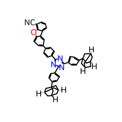 N#Cc1cccc2c1oc1ccc(-c3ccc(-c4nc(-c5ccc(C67C[C@H]8C[C@@H](C6)C[C@@H](C7)C8)cc5)nc(-c5ccc(C67C[C@H]8C[C@H](C6)C[C@@H](C7)C8)cc5)n4)cc3)cc12